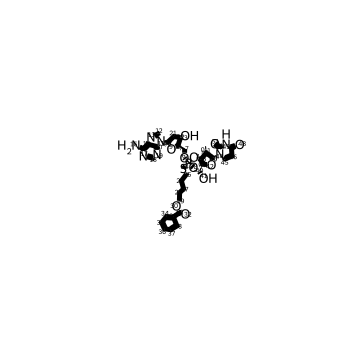 C[C@H]1C(OP(=O)(OC[C@H]2O[C@@H](n3cnc4c(N)ncnc43)CC2O)SCCCCCOC(=O)c2ccccc2)[C@@H](CO)O[C@H]1n1ccc(=O)[nH]c1=O